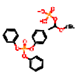 CCCCOC(C)OP(=O)(O)O.O=P(Oc1ccccc1)(Oc1ccccc1)Oc1ccccc1